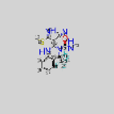 CNC(=O)N1/C(=C(\C#N)C(=N)SC)Nc2ccccc2C1(F)C(F)(F)F